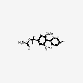 [CH2]c1ccc(-c2c(OC)cc(C(C)(C)OC(N)=O)cc2OC)cc1